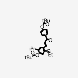 CCOc1cc(OC(=O)C(C)(C)C)c(C(C)C)cc1C=CC(=O)c1ccc(OC(=O)C(C)(C)C)cc1